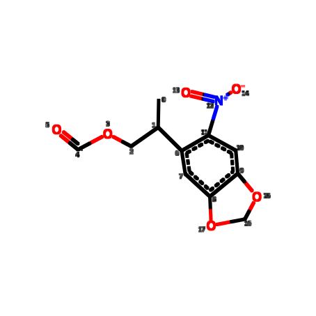 CC(CO[C]=O)c1cc2c(cc1[N+](=O)[O-])OCO2